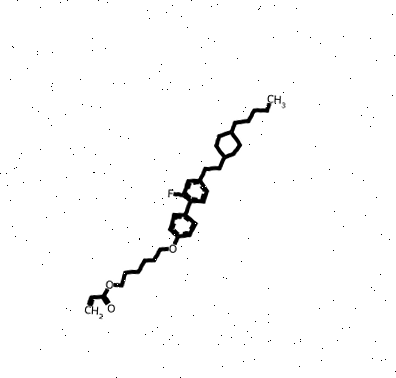 C=CC(=O)OCCCCCCOc1ccc(-c2ccc(CCC3CCC(CCCCC)CC3)cc2F)cc1